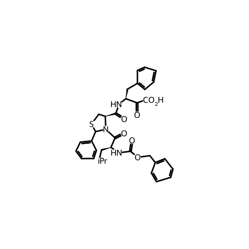 CC(C)C[C@H](NC(=O)OCc1ccccc1)C(=O)N1C(c2ccccc2)SC[C@H]1C(=O)N[C@@H](Cc1ccccc1)C(=O)C(=O)O